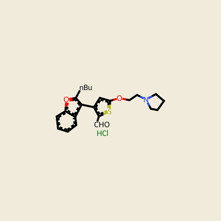 CCCCc1oc2ccccc2c1-c1cc(OCCN2CCCC2)sc1C=O.Cl